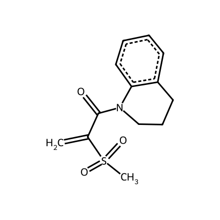 C=C(C(=O)N1CCCc2ccccc21)S(C)(=O)=O